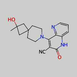 CC1(O)CC2(CCN(c3c(C#N)c(=O)[nH]c4cccnc34)CC2)C1